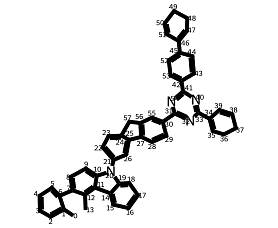 Cc1ccccc1-c1ccc2c(c1C)c1ccccc1n2-c1ccc2c(c1)-c1ccc(-c3nc(C4=CCCC=C4)nc(-c4ccc(C5=CCCC=C5)cc4)n3)cc1C2